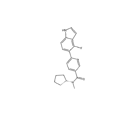 CN(C(=O)c1ccc(-c2ccc3[nH]ccc3c2F)cc1)C1CCCC1